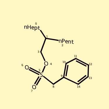 CCCCCCCC(CCCCC)COS(=O)(=O)Cc1ccccc1